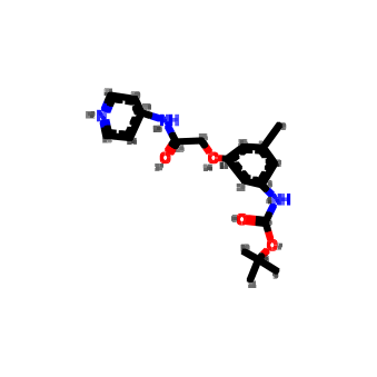 Cc1cc(NC(=O)OC(C)(C)C)cc(OCC(=O)Nc2ccncc2)c1